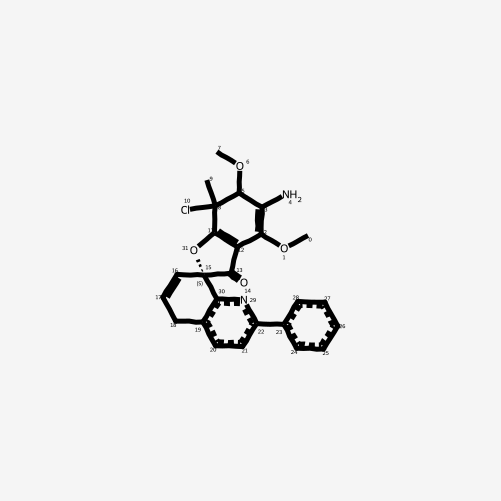 COC1=C(N)C(OC)C(C)(Cl)C2=C1C(=O)[C@@]1(C=CCc3ccc(-c4ccccc4)nc31)O2